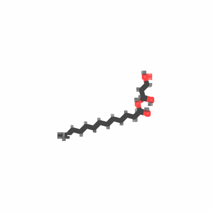 CCCCCCCCCCCC(=O)OC(=O)CCO